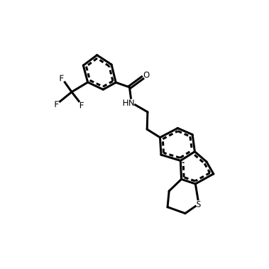 O=C(NCCc1ccc2ccc3c(c2c1)CCCS3)c1cccc(C(F)(F)F)c1